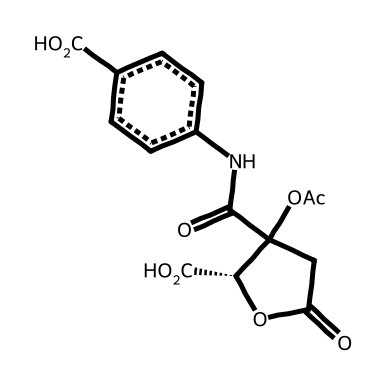 CC(=O)OC1(C(=O)Nc2ccc(C(=O)O)cc2)CC(=O)O[C@@H]1C(=O)O